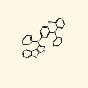 Brc1ccccc1N(c1ccccc1)c1cccc(N(c2ccccc2)c2coc3oc4ccccc4c23)c1